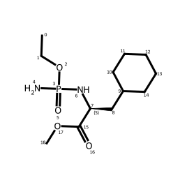 CCOP(N)(=O)N[C@@H](CC1CCCCC1)C(=O)OC